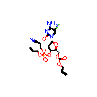 C=CCOC(=O)OC[C@H]1O[C@@H](n2cc(F)c(N)nc2=O)C[C@@H]1OP(=O)(OCC=C)OCCC#N